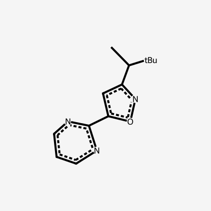 CC(c1cc(-c2ncccn2)on1)C(C)(C)C